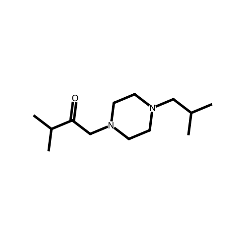 CC(C)CN1CCN(CC(=O)C(C)C)CC1